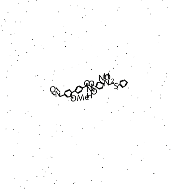 COc1cc(CN2CCOCC2)ccc1-c1ccc(C(=O)NS(=O)(=O)c2ccc(NCCSc3ccccc3)c([N+](=O)[O-])c2)cc1